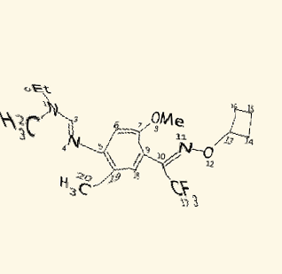 CCN(C)C=Nc1cc(OC)c(C(=NOC2CCC2)C(F)(F)F)cc1C